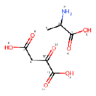 CC(N)C(=O)O.O=C(O)CC(=O)C(=O)O